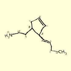 CCC=CC1C=CCC1CCN